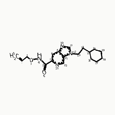 C=CCONC(=O)c1cc2ncn(CCC3CCCCC3)c2cn1